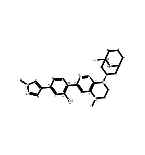 CN1CCN([C@@H]2CC3CCC[C@@H](C2)N3)c2nnc(-c3ccc(-c4cnn(C)c4)cc3O)cc21